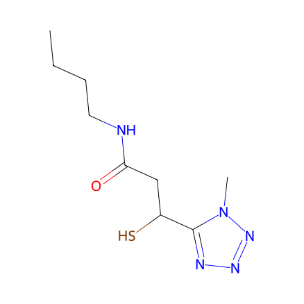 CCCCNC(=O)CC(S)c1nnnn1C